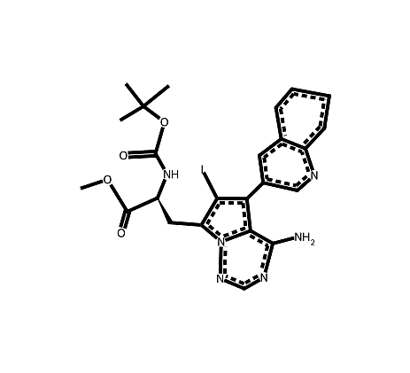 COC(=O)[C@H](Cc1c(I)c(-c2cnc3ccccc3c2)c2c(N)ncnn12)NC(=O)OC(C)(C)C